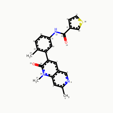 Cc1cc2c(cn1)cc(-c1cc(NC(=O)c3ccsc3)ccc1C)c(=O)n2C